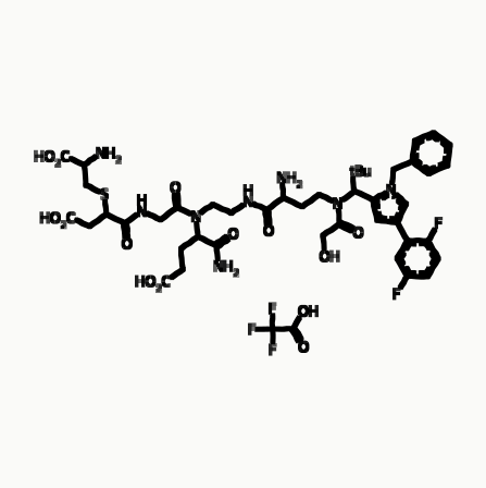 CC(C)(C)C(c1cc(-c2cc(F)ccc2F)cn1Cc1ccccc1)N(CCC(N)C(=O)NCCN(C(=O)CNC(=O)C(CC(=O)O)SCC(N)C(=O)O)C(CCC(=O)O)C(N)=O)C(=O)CO.O=C(O)C(F)(F)F